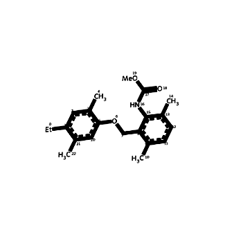 CCc1cc(C)c(OCc2c(C)ccc(C)c2NC(=O)OC)cc1C